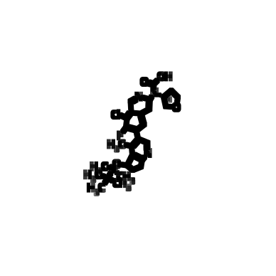 Cc1c(-c2cc3cc(N(C(=O)O)[C@@H]4CCOC4)ncc3c(Cl)c2F)cnc2c1C(O[Si](C)(C)C(C)(C)C)CC2